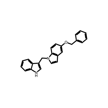 c1ccc(COc2ccc3c(ccn3Cc3c[nH]c4ccccc34)c2)cc1